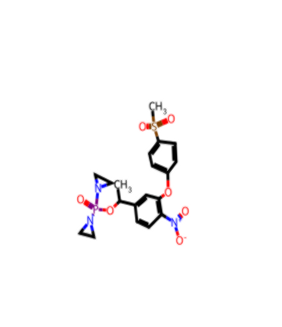 CC(OP(=O)(N1CC1)N1CC1)c1ccc([N+](=O)[O-])c(Oc2ccc(S(C)(=O)=O)cc2)c1